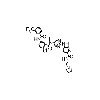 O=C(Nc1ccc(Cl)c(C(=O)Nc2cnc(Nc3ccc(C(=O)NCCN4CCCC4)nc3)nc2)c1)c1cccc(C(F)(F)F)c1